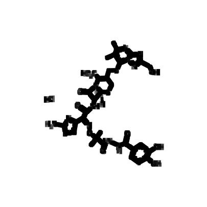 Cc1nc2nc(CO)nn2c(SCC2=C(C(=O)O)N3C(=O)C(NC(=O)C(=NOC(C)(C)C(=O)NNC(=O)c4ccc(O)c(O)c4)c4csc(N)n4)[C@@H]3SC2)c1C.Cl